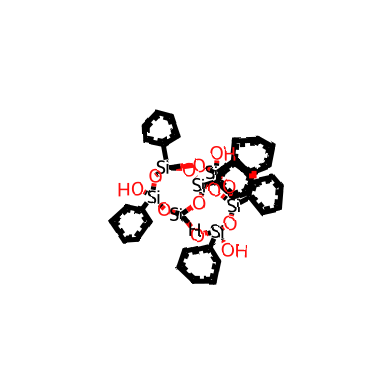 O[Si]1(c2ccccc2)O[Si@@H]2O[Si]3(c4ccccc4)O[Si](c4ccccc4)(O1)O[Si](O)(c1ccccc1)O[Si](c1ccccc1)(O3)O[Si@](O)(c1ccccc1)O2